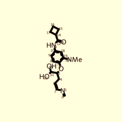 C=N/C=C\CC(Oc1ccc(NC(=O)C2CCC2)cc1NC)C(O)O